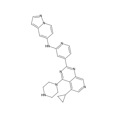 c1cc(-c2nc(N3CCNCC3)c3c(C4CC4)cncc3n2)cc(Nc2ccn3nccc3c2)n1